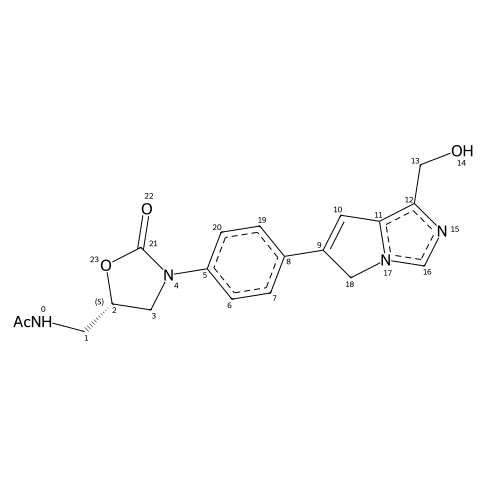 CC(=O)NC[C@H]1CN(c2ccc(C3=Cc4c(CO)ncn4C3)cc2)C(=O)O1